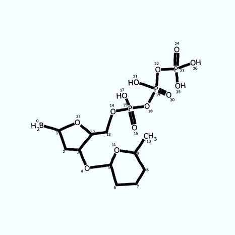 BC1CC(OC2CCCC(C)O2)C(COP(=O)(O)OP(=O)(O)OP(=O)(O)O)O1